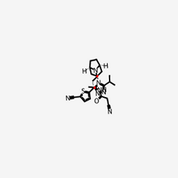 Cc1nnc(C(C)C)n1[C@@H]1C[C@H]2CC[C@@H](C1)N2CC[C@H](NC(=O)CC#N)c1ccc(C#N)s1